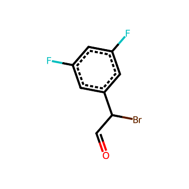 O=CC(Br)c1cc(F)cc(F)c1